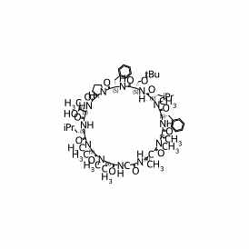 CC(C)C[C@@H]1NC(=O)[C@H]([C@@H](C)O)NC(=O)[C@@H]2CCCN2C(=O)[C@H](Cc2ccccc2)NC(=O)[C@H](COC(C)(C)C)NC(=O)[C@H](CC(C)C)N(C)C(=O)[C@H](Cc2ccccc2)NC(=O)[C@@H](C)N(C)C(=O)C[C@@H](C)NC(=O)CNC(=O)[C@H](C)N(C)C(=O)[C@H](C)N(C)C1=O